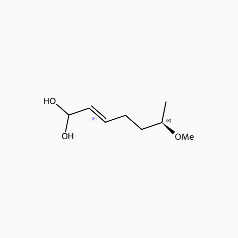 CO[C@H](C)CC/C=C/C(O)O